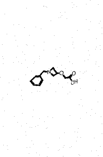 O=C(O)COC1CN(Cc2ccccc2)C1